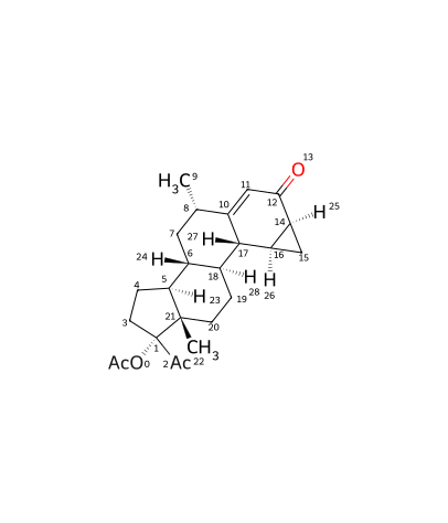 CC(=O)O[C@]1(C(C)=O)CC[C@H]2[C@@H]3C[C@H](C)C4=CC(=O)[C@H]5C[C@H]5[C@@H]4[C@H]3CC[C@@]21C